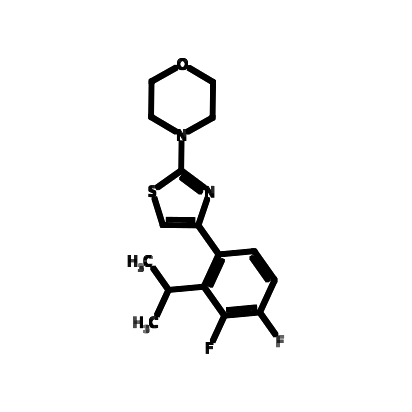 CC(C)c1c(-c2csc(N3CCOCC3)n2)ccc(F)c1F